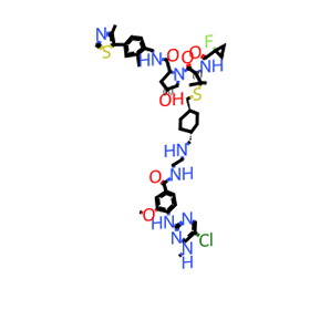 CNc1nc(Nc2ccc(C(=O)NCCNC[C@H]3CC[C@H](CSC(C)(C)[C@H](NC(=O)C4(F)CC4)C(=O)N4C[C@H](O)CC4C(=O)NCc4ccc(-c5scnc5C)cc4C)CC3)cc2OC)ncc1Cl